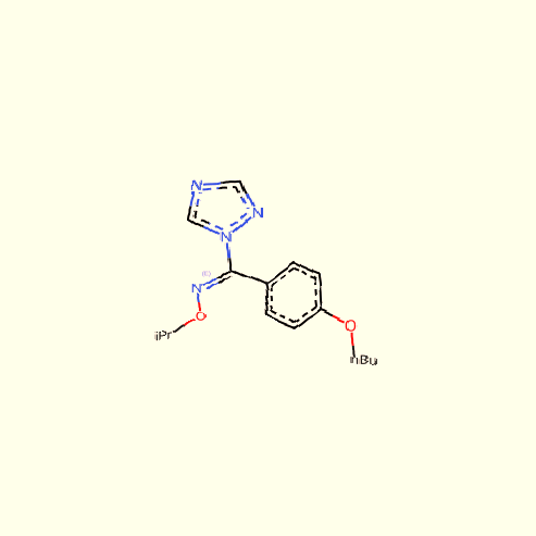 CCCCOc1ccc(/C(=N\OC(C)C)n2cncn2)cc1